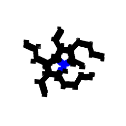 C=C/C=C\c1c(C=C)c2/c(=C\C=C)c(C=C)c(/C=C\C=C)n2c1C